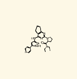 CCN(CC)C(=O)C1CCCN1c1nc2c(c(Nc3cc(-c4ccncc4)[nH]n3)n1)CCC2